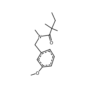 CCC(C)(C)C(=O)N(C)Cc1cccc(OC)c1